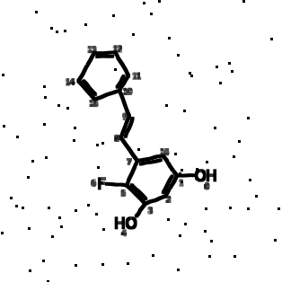 Oc1cc(O)c(F)c(C=Cc2ccccc2)c1